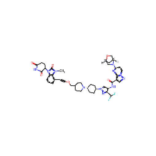 Cn1c(=O)n(C2CCC(=O)NC2=O)c2cccc(C#COCC3CCN([C@H]4CC[C@H](n5cc(NC(=O)c6cnn7ccc(N8C[C@H]9C[C@@H]8CO9)nc67)c(C(F)F)n5)CC4)CC3)c21